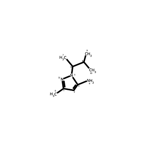 Cc1cc(N)n(C(C)C(C)C)n1